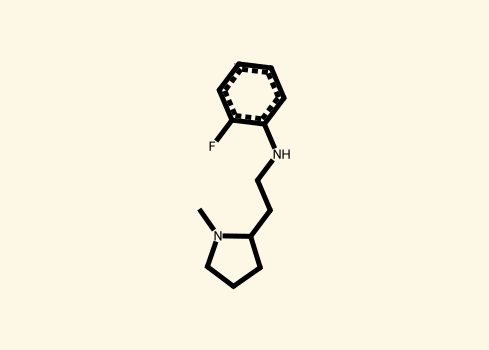 CN1CCCC1CCNc1cc[c]cc1F